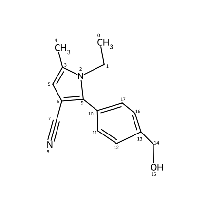 CCn1c(C)cc(C#N)c1-c1ccc(CO)cc1